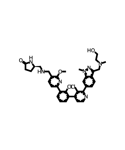 COc1nc(-c2cccc(-c3ccnc(-c4ccc5c(CN(C)CCO)nn(C)c5c4)c3Cl)c2Cl)ccc1CNC[C@H]1CCC(=O)N1